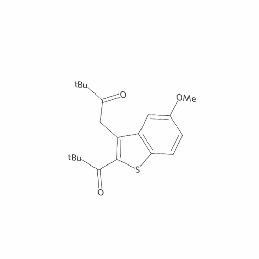 COc1ccc2sc(C(=O)C(C)(C)C)c(CC(=O)C(C)(C)C)c2c1